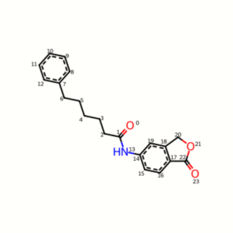 O=C(CCCCCc1ccccc1)Nc1ccc2c(c1)COC2=O